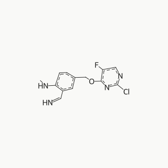 CNc1ccc(COc2nc(Cl)ncc2F)cc1C=N